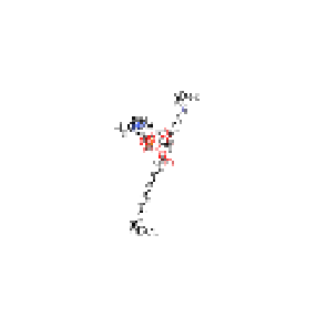 CCCCCCCCCCC/C=C\CCCCC(=O)O[C@H](COC(=O)CCCCCCCCCCCCCCCCCCCCCCC)COP(=O)(O)OCC[N+](C)(C)C